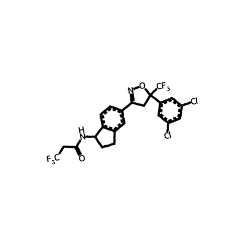 O=C(CC(F)(F)F)NC1CCc2cc(C3=NOC(c4cc(Cl)cc(Cl)c4)(C(F)(F)F)C3)ccc21